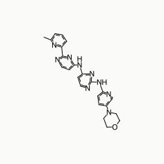 Cc1cccc(-c2nccc(Nc3ccnc(Nc4ccc(N5CCOCC5)cn4)n3)n2)n1